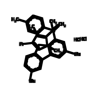 Cl.Cl.[CH2]=[Zr]([CH3])([C]1=C(C)C(C(C)C)=CC1C)([c]1ccc(C)cc1)[c]1cc(C(C)(C)C)cc2c1Cc1ccc(C(C)(C)C)cc1-2